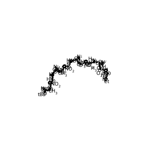 CCn1cc(CNC(=O)c2cccc(COC(=O)C(C)(C)CC(N=[N+]=[N-])C(=O)OCn3cc(CNC(=O)c4cccc(COC(=O)C(C)(C)CC(N=[N+]=[N-])C(=O)OCn5cc(CNC(=O)c6cccc(COC(=O)C(C)(C)CC(N=[N+]=[N-])C(=O)OCn7cc(CNC(=O)c8cccc(COC(=O)C(C)(C)CC(N=[N+]=[N-])C(=O)OC(C)(C)C)c8[N+](=O)[O-])nn7)c6[N+](=O)[O-])nn5)c4[N+](=O)[O-])nn3)c2[N+](=O)[O-])nn1